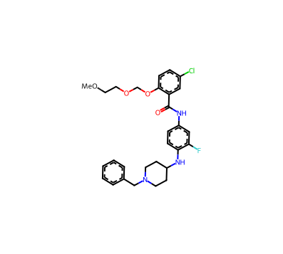 COCCOCOc1ccc(Cl)cc1C(=O)Nc1ccc(NC2CCN(Cc3ccccc3)CC2)c(F)c1